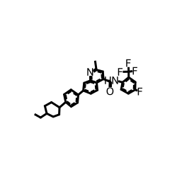 CCC1CCC(c2ccc(-c3ccc4c(C(=O)Nc5ccc(F)cc5C(F)(F)F)cc(C)nc4c3)cc2)CC1